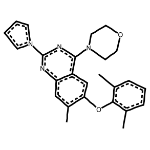 Cc1cc2nc(-n3cccc3)nc(N3CCOCC3)c2cc1Oc1c(C)cccc1C